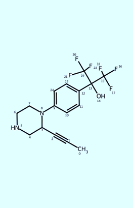 CC#CC1CNCCN1c1ccc(C(O)(C(F)(F)F)C(F)(F)F)cc1